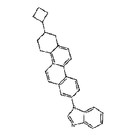 c1ccc2c(c1)ncn2-c1ccc2c(ccc3c4c(ccc32)CC(C2CCC2)CC4)c1